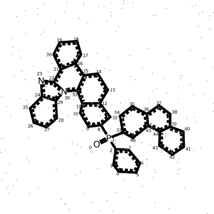 O=P(c1ccccc1)(c1ccc2c(ccc3c4ccccc4c4nc5ccccc5n4c23)c1)c1ccc2ccc3ccccc3c2c1